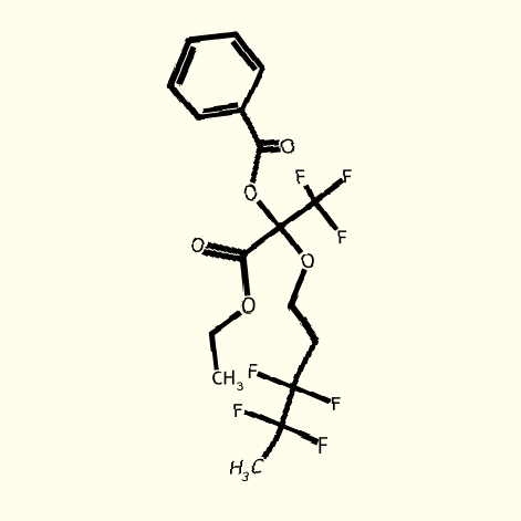 CCOC(=O)C(OCCC(F)(F)C(C)(F)F)(OC(=O)c1ccccc1)C(F)(F)F